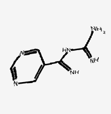 N=C(N)NC(=N)c1cncnc1